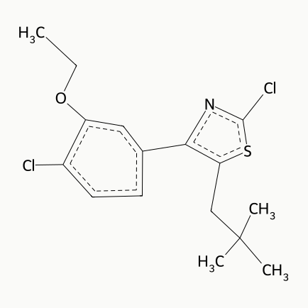 CCOc1cc(-c2nc(Cl)sc2CC(C)(C)C)ccc1Cl